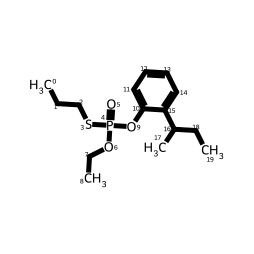 CCCSP(=O)(OCC)Oc1ccccc1C(C)CC